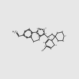 C=Cc1ccc2c(c1)CCc1c-2noc1CCC1(C2C=CC(F)=CC2)CCCCC1